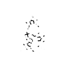 CC(=O)OC[C@@H]1S[C@H](CCCOCC(CO)(COCCC[C@H]2S[C@@H](COC(C)=O)[C@@H](OC(C)=O)[C@H](OC(C)=O)[C@@H]2OC(C)=O)COCCC[C@H]2S[C@@H](COC(C)=O)[C@@H](OC(C)=O)[C@H](OC(C)=O)[C@@H]2OC(C)=O)[C@H](OC(C)=O)[C@@H](OC(C)=O)[C@@H]1OC(C)=O